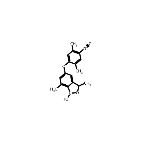 [C-]#[N+]c1cc(C)c(Oc2cc(C)c3c(c2)C(C)OB3O)cc1C